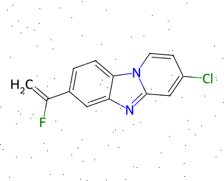 C=C(F)c1ccc2c(c1)nc1cc(Cl)ccn12